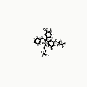 O=C(CCC(F)(F)F)NC(Cc1ccccc1)(c1cc(F)cc(OC(F)(F)C(F)F)c1)c1ccc(F)c(Cl)c1